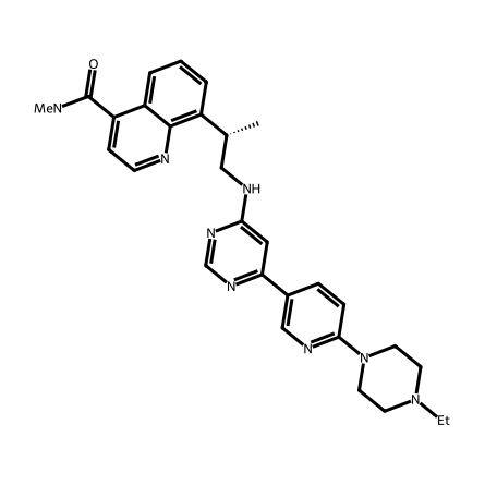 CCN1CCN(c2ccc(-c3cc(NC[C@@H](C)c4cccc5c(C(=O)NC)ccnc45)ncn3)cn2)CC1